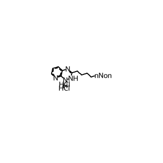 CCCCCCCCCCCCCC1=Nc2cccnc2NN1.Cl.Cl